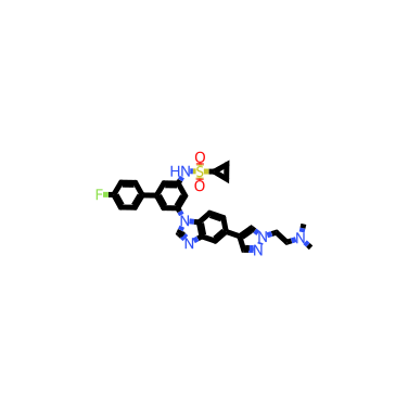 CN(C)CCn1cc(-c2ccc3c(c2)ncn3-c2cc(NS(=O)(=O)C3CC3)cc(-c3ccc(F)cc3)c2)cn1